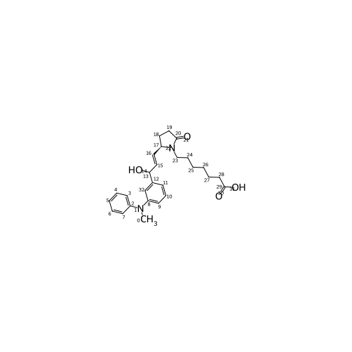 CN(c1ccccc1)c1cccc(C(O)C=C[C@H]2CCC(=O)N2CCCCCCC(=O)O)c1